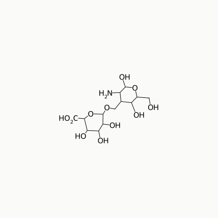 NC1C(O)OC(CO)C(O)C1COC1OC(C(=O)O)C(O)C(O)C1O